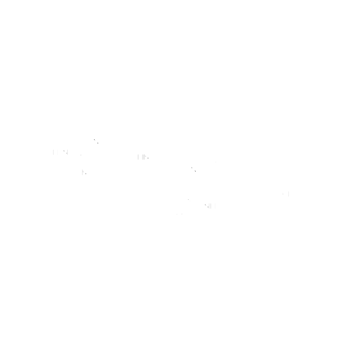 N=C(N)N1CCOC(CNC(=O)C[C@H](NS(=O)(=O)c2ccc(C(F)(F)F)cc2)C(=O)NC2CC2)C1